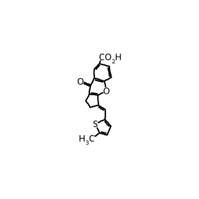 Cc1ccc(C=C2CCc3c2oc2ccc(C(=O)O)cc2c3=O)s1